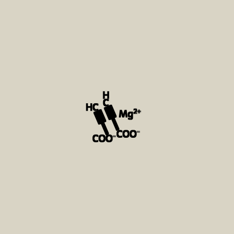 C#CC(=O)[O-].C#CC(=O)[O-].[Mg+2]